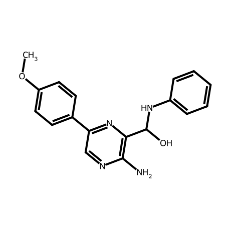 COc1ccc(-c2cnc(N)c(C(O)Nc3ccccc3)n2)cc1